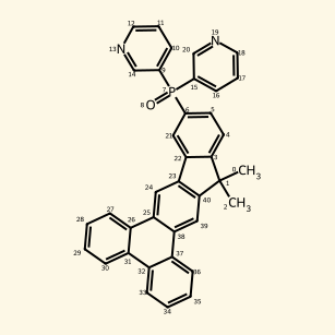 CC1(C)c2ccc(P(=O)(c3cccnc3)c3cccnc3)cc2-c2cc3c4ccccc4c4ccccc4c3cc21